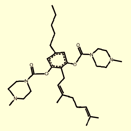 CCCCCc1cc(OC(=O)N2CCN(C)CC2)c(CC=C(C)CCC=C(C)C)c(OC(=O)N2CCN(C)CC2)c1